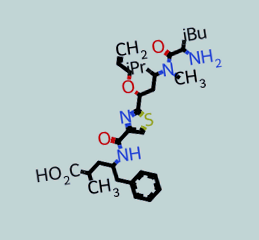 C=CCOC(CC(C(C)C)N(C)C(=O)C(N)C(C)CC)c1nc(C(=O)NC(Cc2ccccc2)CC(C)C(=O)O)cs1